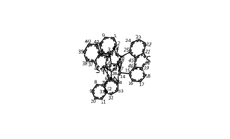 c1ccc(-c2nc(-c3ccccc3)nc(-c3cccc4sc5cccc(-c6nc(-c7ccccc7)c7sc8ccccc8c7n6)c5c34)n2)cc1